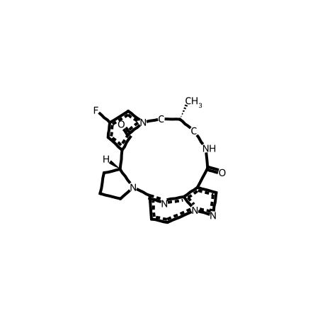 C[C@@H]1CNC(=O)c2cnn3ccc(nc23)N2CCC[C@@H]2c2cc(F)cn(c2=O)C1